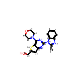 CCc1nc2ccccc2n1-c1nc(N2CCOCC2)c2sc(CO)cc2n1